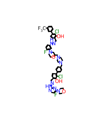 Oc1c(/C=N\Nc2ccc(F)c(N3CCOC(CN4CCN(Cc5ccc(-c6ccc(/C=N/Nc7ncc(F)c(N8CCOCC8)n7)c(O)c6Cl)cc5)CC4)C3)c2)ccc(-c2cccc(C(F)(F)F)c2)c1Cl